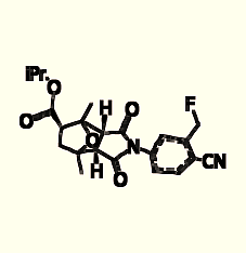 CC(C)OC(=O)[C@@H]1CC2(C)OC1(C)[C@@H]1C(=O)N(c3ccc(C#N)c(CF)c3)C(=O)[C@@H]12